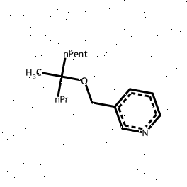 CCCCCC(C)(CCC)OCc1cccnc1